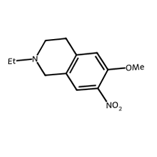 CCN1CCc2cc(OC)c([N+](=O)[O-])cc2C1